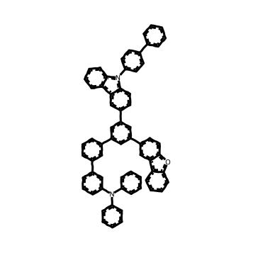 c1ccc(-c2ccc(-n3c4ccccc4c4cc(-c5cc(-c6cccc(-c7cccc(N(c8ccccc8)c8ccccc8)c7)c6)cc(-c6ccc7oc8ccccc8c7c6)c5)ccc43)cc2)cc1